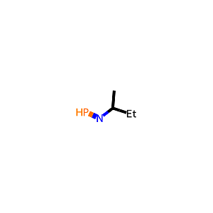 CCC(C)N=P